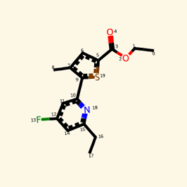 CCOC(=O)c1cc(C)c(-c2cc(F)cc(CC)n2)s1